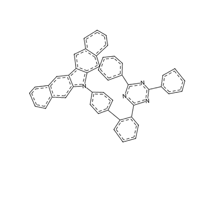 c1ccc(-c2nc(-c3ccccc3)nc(-c3ccccc3-c3ccc(-n4c5cc6ccccc6cc5c5cc6ccccc6cc54)cc3)n2)cc1